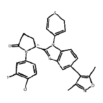 Cc1noc(C)c1-c1ccc2c(c1)nc([C@@H]1CCC(=O)N1c1ccc(Cl)c(F)c1)n2C1=CCSC=C1